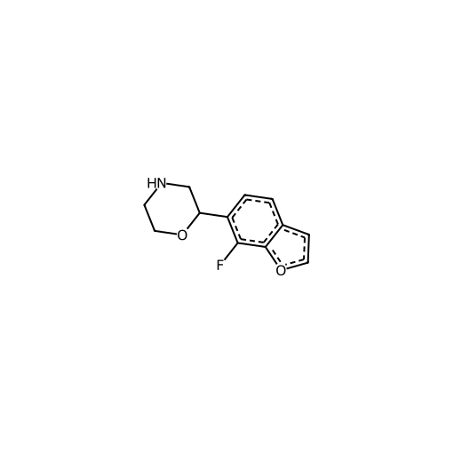 Fc1c(C2CNCCO2)ccc2ccoc12